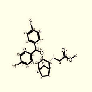 COC(=O)CC[C@@H]1C2CCC(C2)C[C@@H]1OC(c1ccc(F)cc1)c1ccc(F)cc1